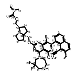 C#Cc1c(F)ccc2cccc(-c3nc(OC)c4c(N5CCNCC(F)(F)C5)nc(OC[C@]56CCCN5[C@@H](COC(=O)N(C)C)CC6)nc4c3F)c12